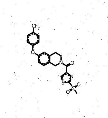 CS(=O)(=O)c1nc(C(=O)N2CCc3cc(Oc4ccc(C(F)(F)F)cc4)ccc3C2)cs1